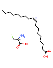 CCCCCCCC/C=C\CCCCCCCC(=O)O.N[C@H](CF)C(=O)O